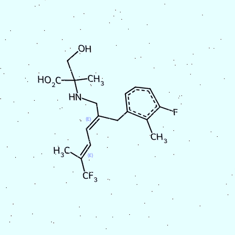 C/C(=C\C=C(\CNC(C)(CO)C(=O)O)Cc1cccc(F)c1C)C(F)(F)F